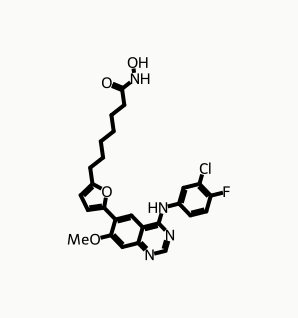 COc1cc2ncnc(Nc3ccc(F)c(Cl)c3)c2cc1-c1ccc(CCCCCCC(=O)NO)o1